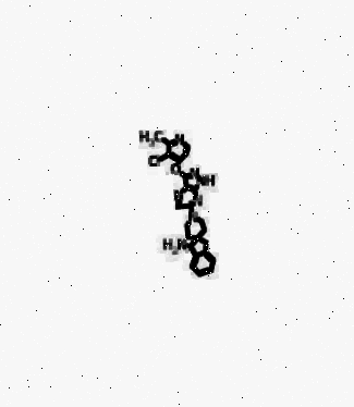 Cc1nccc(Oc2n[nH]c3nc(N4CCC5(CC4)Cc4ccccc4[C@H]5N)cnc23)c1Cl